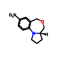 O=[N+]([O-])c1ccc2c(c1)COC[C@@H]1CCCN21